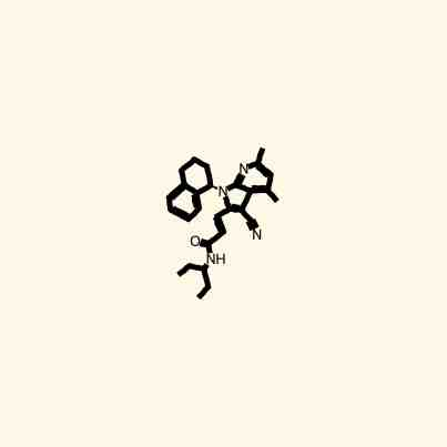 CCC(CC)NC(=O)/C=C/c1c(C#N)c2c(C)cc(C)nc2n1[C@H]1CCCc2ccccc21